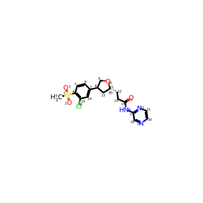 CS(=O)(=O)c1ccc(C2CO[C@H](CCC(=O)Nc3cnccn3)C2)cc1Cl